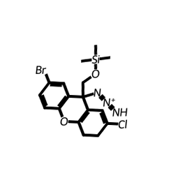 C[Si](C)(C)OCC1(N=[N+]=N)C2=C(CCC(Cl)=C2)Oc2ccc(Br)cc21